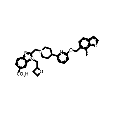 O=C(O)c1ccc2nc(CN3CCC(c4cccc(OCc5ccc6ccoc6c5F)n4)CC3)n(CC3CCO3)c2c1